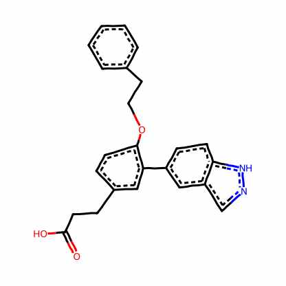 O=C(O)CCc1ccc(OCCc2ccccc2)c(-c2ccc3[nH]ncc3c2)c1